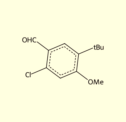 COc1cc(Cl)c(C=O)cc1C(C)(C)C